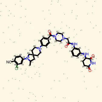 CC1CC2(CCN(c3ccc(C(=O)N4CCN(CC(=O)Nc5cccc(NC6CCC(=O)NC6=O)c5)CC4)cc3)CC2)CN1c1ccc(C#N)c(Cl)c1